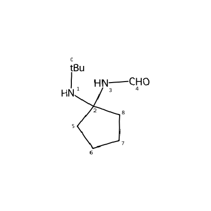 CC(C)(C)NC1(NC=O)CCCC1